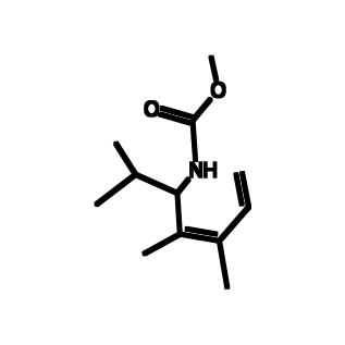 C=CC(C)=C(C)C(NC(=O)OC)C(C)C